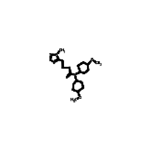 COC1CCC(N(C(=S)CCCc2nnnn2C)C2CCC(OC)CC2)CC1